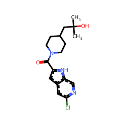 CC(C)(O)CC1CCN(C(=O)c2cc3cc(Cl)ncc3[nH]2)CC1